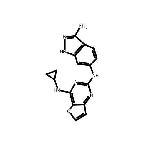 Nc1n[nH]c2cc(Nc3nc(NC4CC4)c4occc4n3)ccc12